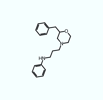 c1ccc(CC2CN(CCCNc3ccccc3)CCO2)cc1